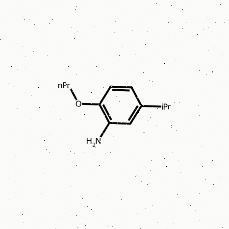 CCCOc1ccc(C(C)C)cc1N